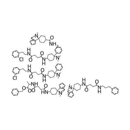 CC(NC(=O)CCC(=O)NC1CCC(c2cccs2)(N(C)C)CC1)C(=O)OCc1ccccc1.CN(C)C1(c2ccccc2)CCC(NC(=O)CCC(=O)NCCc2cccc(Cl)c2)CC1.CN(C)C1(c2ccccc2)CCC(NC(=O)CCC(=O)NCCc2ccccc2Cl)CC1.CN(C)C1(c2cccs2)CCC(C(N)=O)CC1.CN(C)C1(c2cccs2)CCC(NC(=O)CCC(=O)NCCCc2ccccc2)CC1